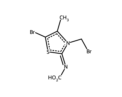 Cc1c(Br)sc(=NC(=O)O)n1CBr